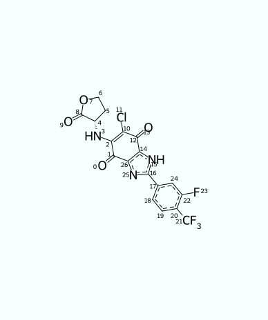 O=C1C(N[C@H]2CCOC2=O)=C(Cl)C(=O)c2[nH]c(-c3ccc(C(F)(F)F)c(F)c3)nc21